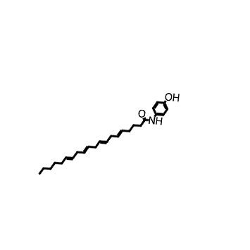 CCCCCC=CCC=CCC=CCC=CCCCC(=O)Nc1ccc(O)cc1